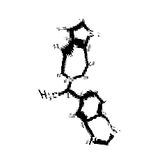 CC(c1ccc2scnc2c1)N1CCc2ccsc2CC1